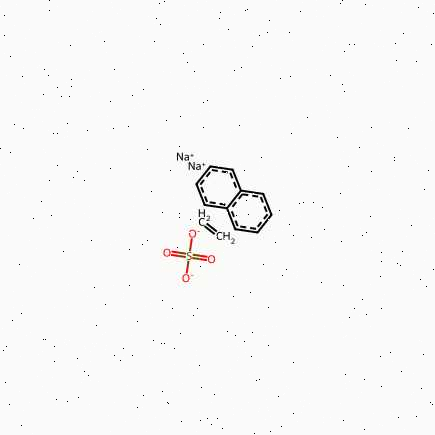 C=C.O=S(=O)([O-])[O-].[Na+].[Na+].c1ccc2ccccc2c1